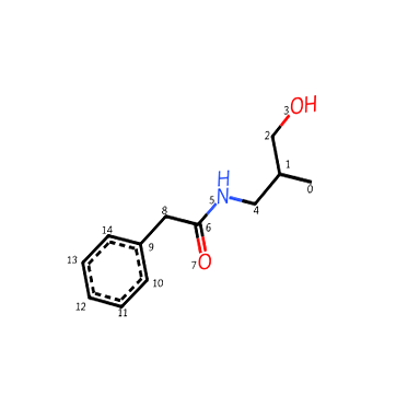 CC(CO)CNC(=O)Cc1ccccc1